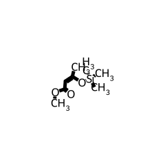 COC(=O)C=C(C)O[Si](C)(C)C